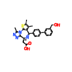 Cc1sc2c(c1C)C(c1ccc(-c3cccc(CO)c3)cc1)=N[C@@H](CC(=O)O)c1nnc(C)n1-2